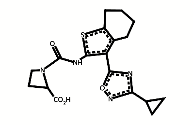 O=C(O)C1CCN1C(=O)Nc1sc2c(c1-c1nc(C3CC3)no1)CCCC2